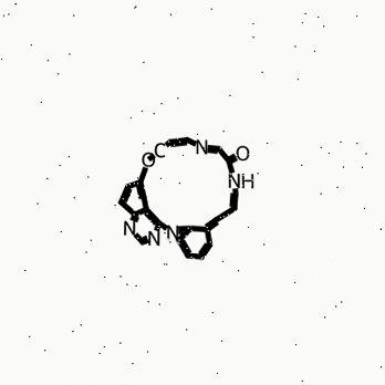 O=C1/C=N/C=C\COc2ccc3ncnc(c3c2)\N=c2/cccc/c2=C\C=C/N1